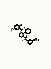 Cc1ccc(F)cc1C(=O)N1CCCC(C(=O)Nc2cccc(C(C)(C)C)c2)C1C1CCCCC1